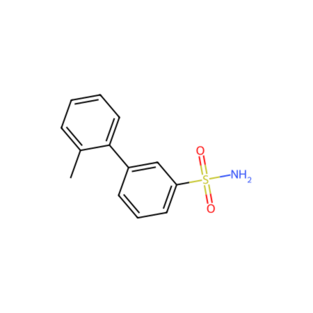 Cc1ccccc1-c1cccc(S(N)(=O)=O)c1